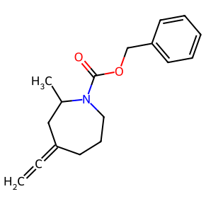 C=C=C1CCCN(C(=O)OCc2ccccc2)C(C)C1